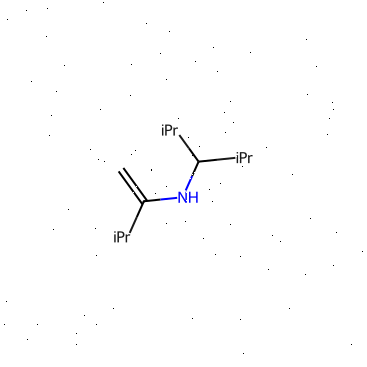 C=C(NC(C(C)C)C(C)C)C(C)C